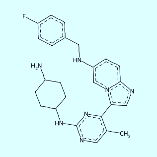 Cc1cnc(NC2CCC(N)CC2)nc1-c1cnc2ccc(NCc3ccc(F)cc3)cn12